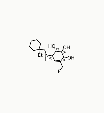 CCC1(CN[C@@H]2C=C(CF)[C@H](O)[C@H](O)[C@H]2O)CCCCC1